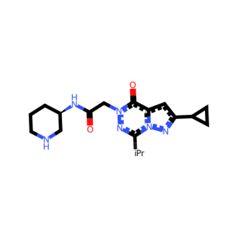 CC(C)c1nn(CC(=O)N[C@@H]2CCCNC2)c(=O)c2cc(C3CC3)nn12